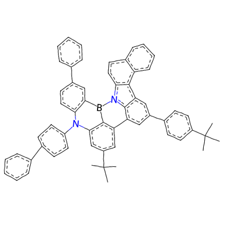 CC(C)(C)c1ccc(-c2cc3c4c(c2)c2c5ccccc5ccc2n4B2c4cc(-c5ccccc5)ccc4N(c4ccc(-c5ccccc5)cc4)c4cc(C(C)(C)C)cc-3c42)cc1